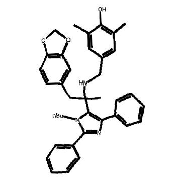 CCCCn1c(-c2ccccc2)nc(-c2ccccc2)c1C(C)(Cc1ccc2c(c1)OCO2)NCc1cc(C)c(O)c(C)c1